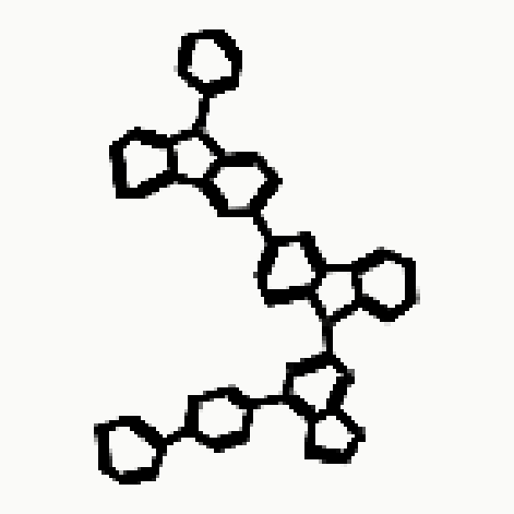 c1ccc(-c2ccc(-c3nc(-n4c5ccccc5c5cc(-c6ccc7c(c6)c6ccccc6n7-c6ccccc6)ccc54)nc4sccc34)cc2)cc1